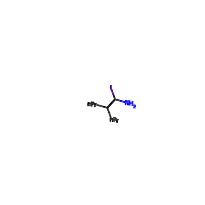 CCCC(CCC)C(N)I